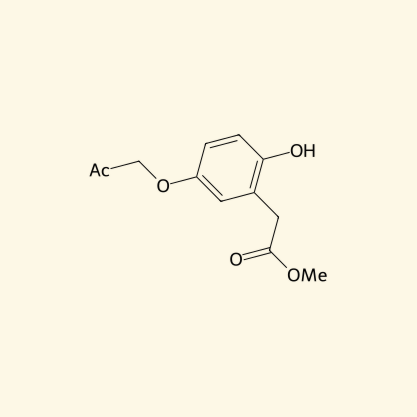 COC(=O)Cc1cc(OCC(C)=O)ccc1O